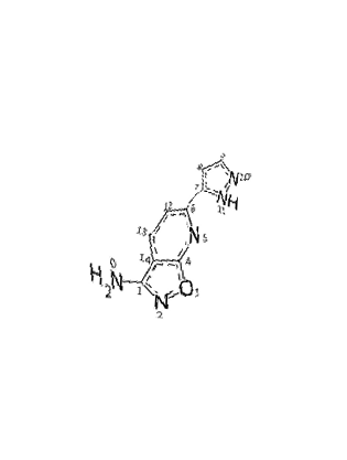 Nc1noc2nc(-c3ccn[nH]3)ccc12